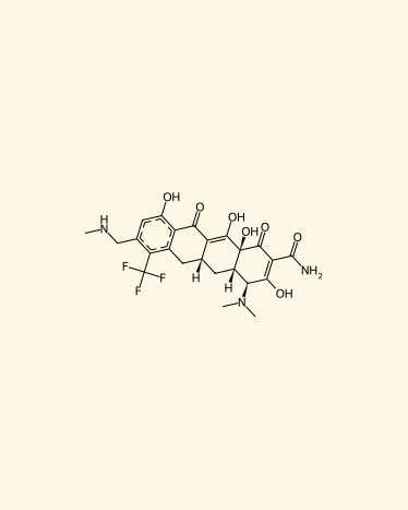 CNCc1cc(O)c2c(c1C(F)(F)F)C[C@H]1C[C@H]3[C@H](N(C)C)C(O)=C(C(N)=O)C(=O)[C@@]3(O)C(O)=C1C2=O